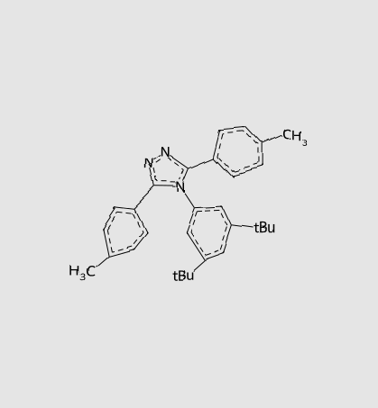 Cc1ccc(-c2nnc(-c3ccc(C)cc3)n2-c2cc(C(C)(C)C)cc(C(C)(C)C)c2)cc1